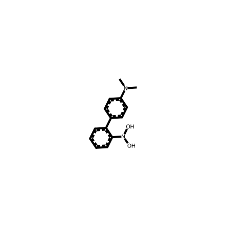 CN(C)c1ccc(-c2ccccc2N(O)O)cc1